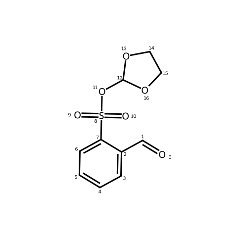 O=Cc1ccccc1S(=O)(=O)OC1OCCO1